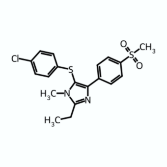 CCc1nc(-c2ccc(S(C)(=O)=O)cc2)c(Sc2ccc(Cl)cc2)n1C